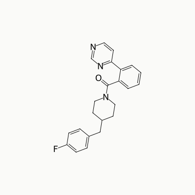 O=C(c1ccccc1-c1ccncn1)N1CCC(Cc2ccc(F)cc2)CC1